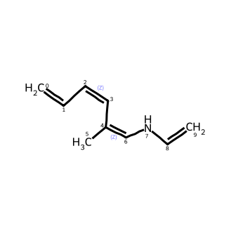 C=C/C=C\C(C)=C/NC=C